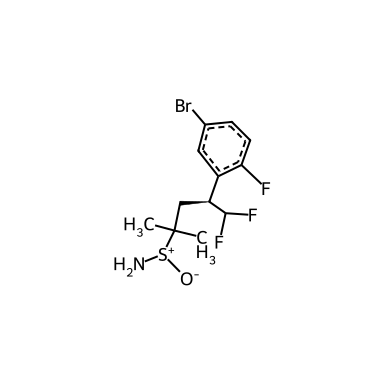 CC(C)(C[C@@H](c1cc(Br)ccc1F)C(F)F)[S+](N)[O-]